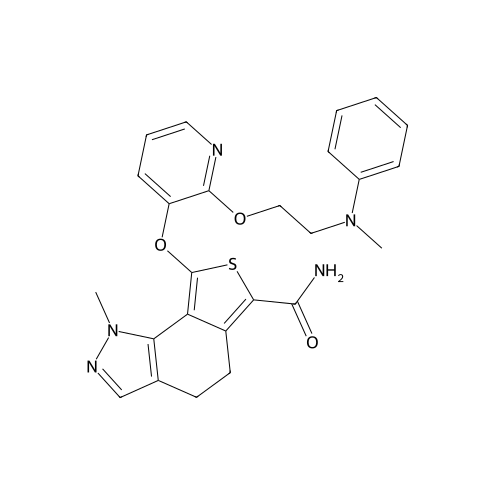 CN(CCOc1ncccc1Oc1sc(C(N)=O)c2c1-c1c(cnn1C)CC2)c1ccccc1